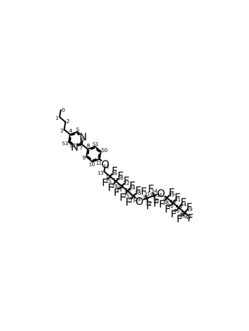 CCCCc1cnc(-c2ccc(OCC(F)(F)C(F)(F)C(F)(F)C(F)(F)C(F)(F)OC(F)(F)C(F)(F)OC(F)(F)C(F)(F)C(F)(F)C(F)(F)F)cc2)nc1